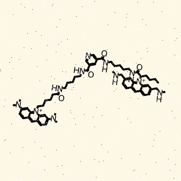 CCCCC(C(=O)NCCCCCNC(=O)c1cncc(C(=O)NCCCCCNC(=O)CCCCC[n+]2c3cc(N(C)C)ccc3cc3ccc(N(C)C)cc32)c1)[n+]1c2cc(CNC)ccc2cc2ccc(CNC)cc21